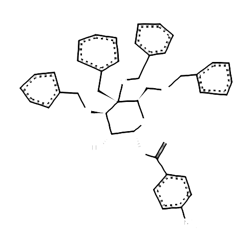 O=C(O[C@H]1O[C@H](COCc2ccccc2)[C@@](Cc2ccccc2)(OCc2ccccc2)[C@H](OCc2ccccc2)[C@H]1O)c1ccc([N+](=O)[O-])cc1